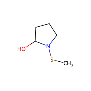 CSN1CCCC1O